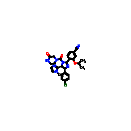 CC(C)Oc1cc(C#N)ccc1C1=N[C@@H](c2ccc(Cl)cc2)[C@@H](c2nccn2C)N1C(=O)N1CCNC(=O)C1